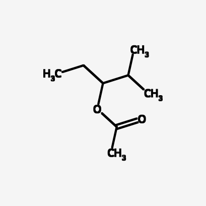 CCC(OC(C)=O)C(C)C